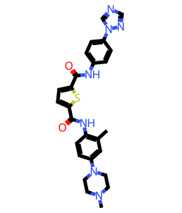 Cc1cc(N2CCN(C)CC2)ccc1NC(=O)c1ccc(C(=O)Nc2ccc(-n3cncn3)cc2)s1